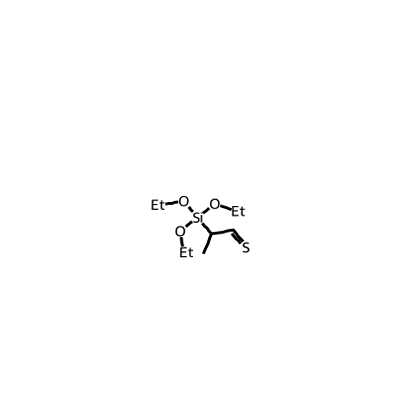 CCO[Si](OCC)(OCC)C(C)C=S